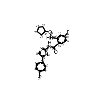 O=C(Nc1nc(-c2ccc(Br)cc2)cs1)c1ccc(F)cc1NOC1CCCC1